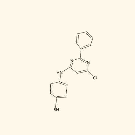 Sc1ccc(Nc2cc(Cl)nc(-c3ccccc3)n2)cc1